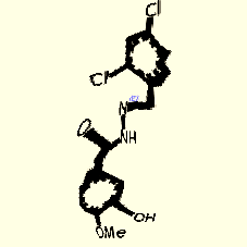 COc1ccc(C(=O)N/N=C/c2ccc(Cl)cc2Cl)cc1O